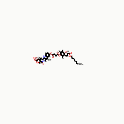 CCCCCCCCCCCCCCCCOC(=O)[C@@]1(C)CCc2c(C)c(OC(=O)CCC(=O)Oc3ccc4nc5c(c(CC)c4c3)Cn3c-5cc4c(c3=O)COC(=O)[C@]4(O)CC)c(C)c(C)c2O1